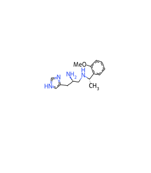 COc1ccccc1[C@H](C)NC[C@H](N)Cc1c[nH]cn1